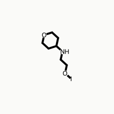 IOCCNC1CCOCC1